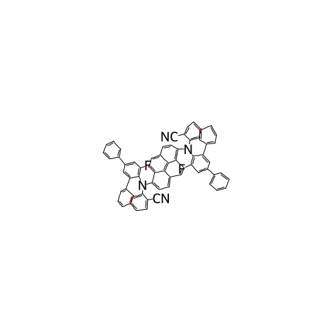 N#Cc1ccccc1N(c1c(F)cc(-c2ccccc2)cc1-c1ccccc1)c1ccc2ccc3c(N(c4ccccc4C#N)c4c(F)cc(-c5ccccc5)cc4-c4ccccc4)ccc4ccc1c2c43